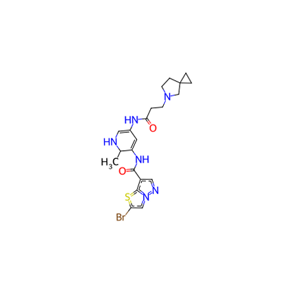 CC1NC=C(NC(=O)CCN2CCC3(CC3)C2)C=C1NC(=O)c1cnn2cc(Br)sc12